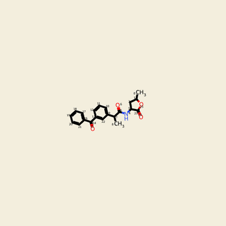 CC1CC(NC(=O)C(C)c2cccc(C(=O)c3ccccc3)c2)C(=O)O1